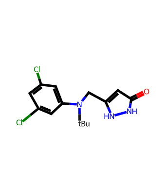 CC(C)(C)N(Cc1cc(=O)[nH][nH]1)c1cc(Cl)cc(Cl)c1